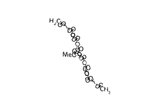 C=CC(=O)OCCCCOC(=O)c1ccc(OC(=O)C2CCC(C(=O)Oc3ccc(OC(=O)C4CCC(C(=O)Oc5ccc(C(=O)OCCCCOC(=O)C=C)cc5)CC4)c(C(=O)OC)c3)CC2)cc1